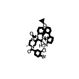 C[C@@H]1Cn2c(c(C(=O)NCc3ccccc3-c3cccc(N)n3)n(-c3ccc(OC4CC4)cc3)c2=O)CN1C(=O)c1ccc(Br)c(Cl)c1